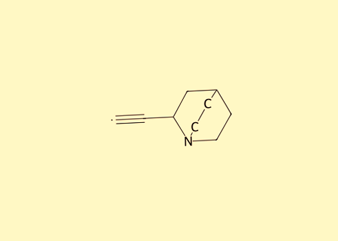 [C]#CC1CC2CCN1CC2